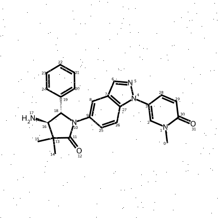 Cn1cc(-n2ncc3cc(N4C(=O)C(C)(C)[C@@H](N)[C@@H]4c4ccccc4)ccc32)ccc1=O